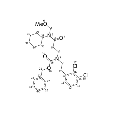 COCN(C(=O)CCN(CCc1cccc(Cl)c1Cl)C(=O)OCc1ccccc1)C1CCCCC1